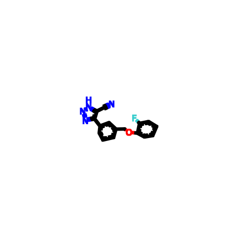 N#Cc1[nH]nnc1-c1cccc(COc2ccccc2F)c1